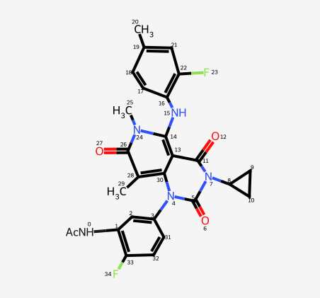 CC(=O)Nc1cc(-n2c(=O)n(C3CC3)c(=O)c3c(Nc4ccc(C)cc4F)n(C)c(=O)c(C)c32)ccc1F